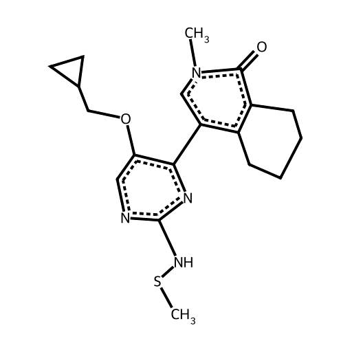 CSNc1ncc(OCC2CC2)c(-c2cn(C)c(=O)c3c2CCCC3)n1